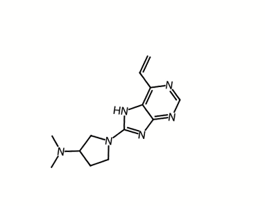 C=Cc1ncnc2nc(N3CCC(N(C)C)C3)[nH]c12